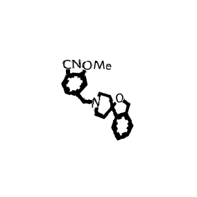 COc1cc(CN2CCC3(CC2)OCc2ccccc23)ccc1C#N